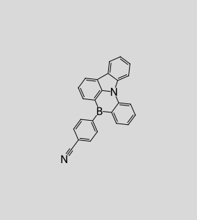 N#Cc1ccc(B2c3ccccc3-n3c4ccccc4c4cccc2c43)cc1